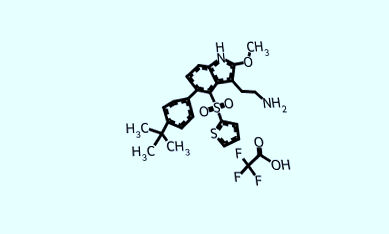 COc1[nH]c2ccc(-c3ccc(C(C)(C)C)cc3)c(S(=O)(=O)c3cccs3)c2c1CCN.O=C(O)C(F)(F)F